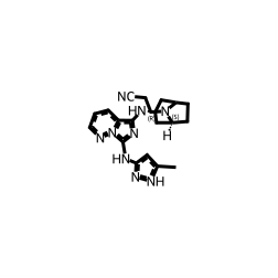 Cc1cc(Nc2nc(N[C@@H]3CC4CC[C@@H](C3)N4CCC#N)c3cccnn23)n[nH]1